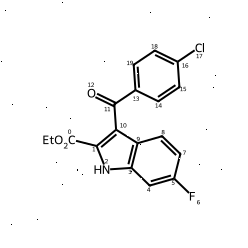 CCOC(=O)c1[nH]c2cc(F)ccc2c1C(=O)c1ccc(Cl)cc1